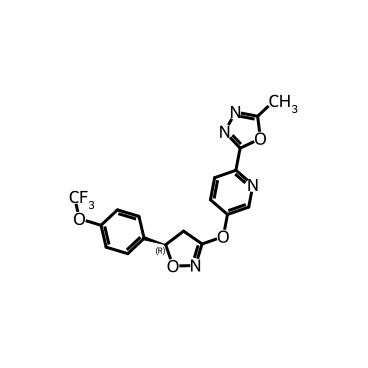 Cc1nnc(-c2ccc(OC3=NO[C@@H](c4ccc(OC(F)(F)F)cc4)C3)cn2)o1